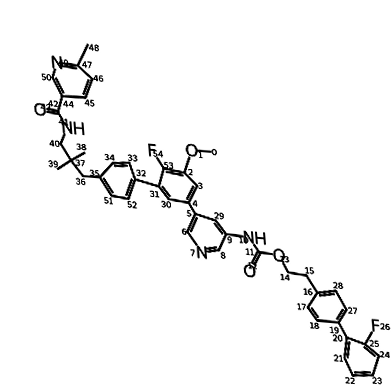 COc1cc(-c2cncc(NC(=O)OCCc3ccc(-c4ccccc4F)cc3)c2)cc(-c2ccc(CC(C)(C)CNC(=O)c3ccc(C)nc3)cc2)c1F